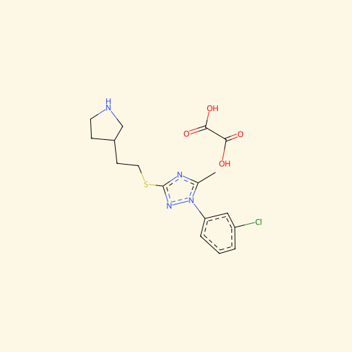 Cc1nc(SCCC2CCNC2)nn1-c1cccc(Cl)c1.O=C(O)C(=O)O